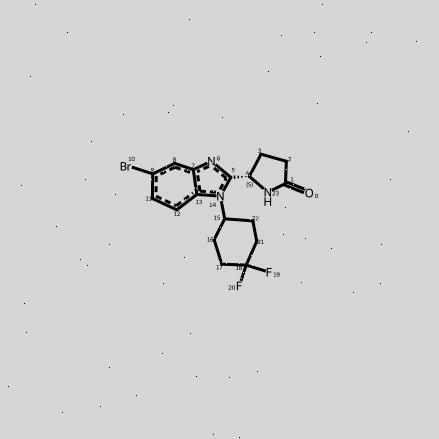 O=C1CC[C@@H](c2nc3cc(Br)ccc3n2C2CCC(F)(F)CC2)N1